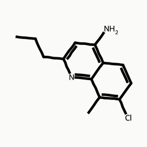 CCCc1cc(N)c2ccc(Cl)c(C)c2n1